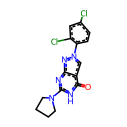 O=c1[nH]c(N2CCCC2)nc2nn(-c3ccc(Cl)cc3Cl)cc12